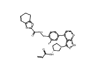 C=CC(=O)N[C@@H]1CCN(c2n[nH]c3nccc(-c4ccc(CNC(=O)c5nc6c(s5)CCCC6)c(F)c4)c23)C1